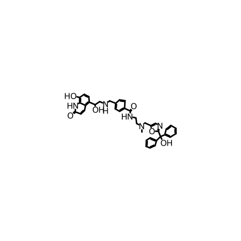 CN(CCNC(=O)c1ccc(CNCC(O)c2ccc(O)c3[nH]c(=O)ccc23)cc1)Cc1cnc(C(O)(c2ccccc2)c2ccccc2)o1